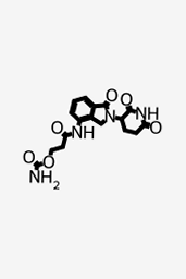 NC(=O)OCCC(=O)Nc1cccc2c1CN(C1CCC(=O)NC1=O)C2=O